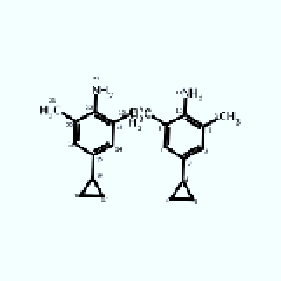 Cc1cc(C2CC2)cc(C)c1N.Cc1cc(C2CC2)cc(C)c1N